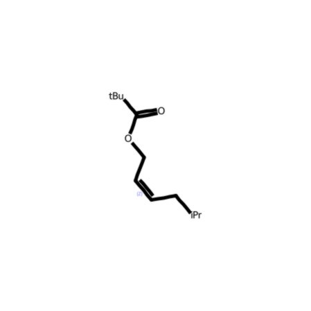 CC(C)C/C=C\COC(=O)C(C)(C)C